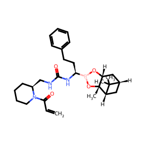 C=CC(=O)N1CCCC[C@H]1CNC(=O)N[C@@H](CCc1ccccc1)B1O[C@@H]2C[C@@H]3C[C@@H](C3(C)C)[C@]2(C)O1